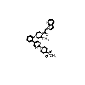 CC1CN(c2ccccc2-c2cnc(N3CCC(S(C)(=O)=O)CC3)nc2)CCN1C(=O)Cn1ccc2cccnc21